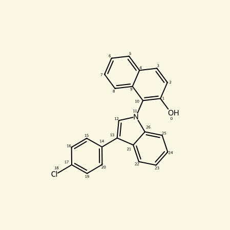 Oc1ccc2ccccc2c1-n1cc(-c2ccc(Cl)cc2)c2ccccc21